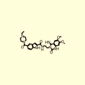 CCN1CCN(C(=O)c2ccc3[nH]c(C(=O)NCCn4c(=O)[nH]c5cc(OC)c(OC)cc5c4=N)cc3c2)CC1